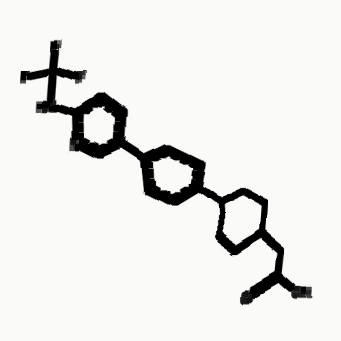 O=C(O)CC1CCC(c2ccc(-c3ccc(NC(F)(F)F)nc3)cc2)CC1